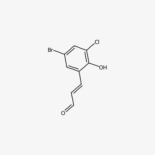 O=C/C=C/c1cc(Br)cc(Cl)c1O